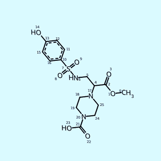 COC(=O)C(CNS(=O)(=O)c1ccc(O)cc1)N1CCN(C(=O)O)CC1